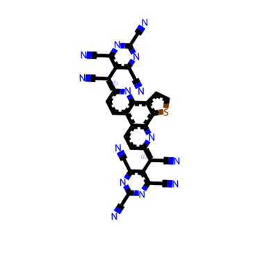 N#C/C(c1c(C#N)nc(C#N)nc1C#N)=c1/ccc2c3cc/c(=C(\C#N)c4c(C#N)nc(C#N)nc4C#N)nc3c3ccsc3c2n1